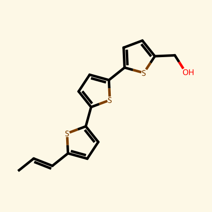 CC=Cc1ccc(-c2ccc(-c3ccc(CO)s3)s2)s1